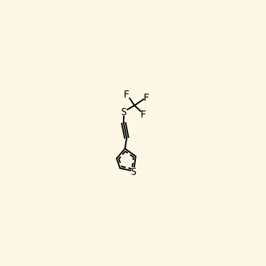 FC(F)(F)SC#Cc1ccsc1